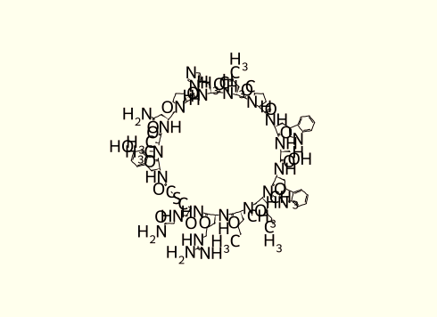 CCCC[C@H]1C(=O)N(C)[C@@H](CCCC)C(=O)N[C@@H](CCCNC(=N)N)C(=O)NC(C(=O)NCC(N)=O)CSCC(=O)N[C@@H](Cc2ccc(O)cc2)C(=O)N(C)[C@@H](C)C(=O)N[C@@H](CC(N)=O)C(=O)N2CCC[C@H]2C(=O)N[C@@H](Cc2cnc[nH]2)C(=O)N[C@@H](CC(C)C)C(=O)N2[C@@H](C)CC[C@H]2C(=O)N[C@@H](Cc2c[nH]c3ccccc23)C(=O)N[C@@H](CO)C(=O)N[C@@H](Cc2c[nH]c3ccccc23)C(=O)N1C